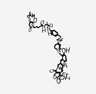 CC[C@@]1(O)C(=O)OCc2c1cc1n(c2=O)Cc2cc3c(CN4CCC([N+](C)(C)Cc5ccc(NC(=O)[C@H](C)NC(=O)CCCN6C(=O)CC(SN(C)I)C6=O)cc5)CC4)c(O)ccc3nc2-1